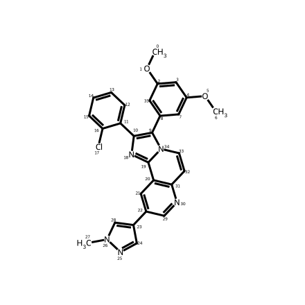 COc1cc(OC)cc(-c2c(-c3ccccc3Cl)nc3c4cc(-c5cnn(C)c5)cnc4ccn23)c1